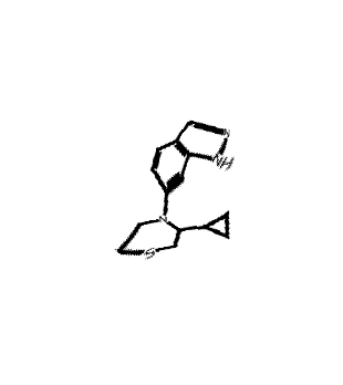 [CH]1CN(c2ccc3cn[nH]c3c2)C(C2CC2)CS1